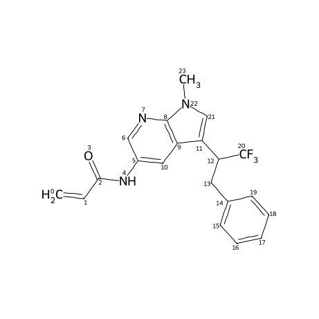 C=CC(=O)Nc1cnc2c(c1)c(C(Cc1ccccc1)C(F)(F)F)cn2C